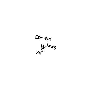 CCNC(=S)S.[Zn]